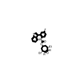 CC[C@@H]1C[C@@H](OC(=O)Nc2ccc(F)cc2-c2csc3ccccc23)C[C@H](CC)[C@@H]2O[C@H]12